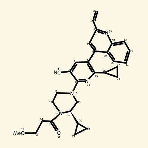 C=Cc1cc(-c2cc(C#N)c(N3CCN(C(=O)CCOC)[C@H](C4CC4)C3)nc2C2CC2)c2ccccc2n1